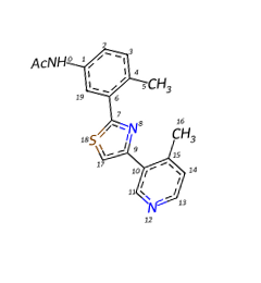 CC(=O)Nc1ccc(C)c(-c2nc(-c3cnccc3C)cs2)c1